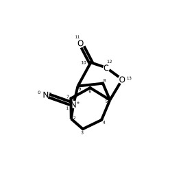 [N-]=[N+]1C2CCC3(CC2)CC1C(=O)CO3